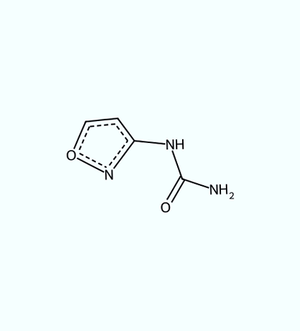 NC(=O)Nc1ccon1